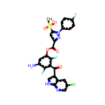 CS(=O)(=O)c1cc(C(=O)Oc2cc(N)c(F)c(C(=O)c3c[nH]c4ncc(Cl)cc34)c2F)nn1-c1ccc(F)cc1